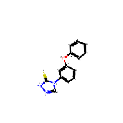 S=c1[nH]ncn1-c1cccc(Oc2ccccc2)c1